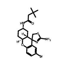 CC(C)(C)CC(=O)N[C@@H]1CC[C@@H]2Oc3ccc(Br)cc3C3(CSC(N)=N3)[C@H]2C1